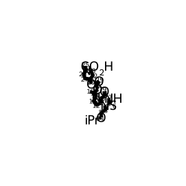 CC(C)OCCn1c(=S)[nH]c(=O)c2c1ccn2C(C)OC(=O)OC1CCN(C(=O)O)CC1